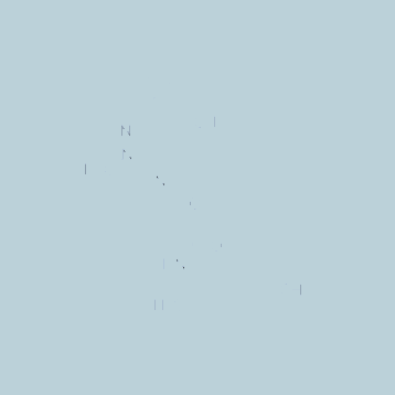 Cc1ccc(C(C)NC(=O)COc2cc(C)c3c(C4CC4)nn(C)c3n2)cc1